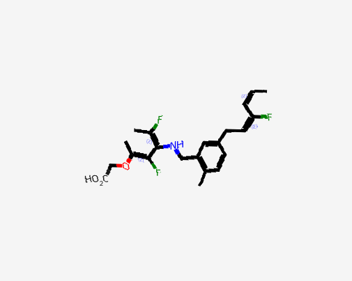 C/C=C\C(F)=C/Cc1ccc(C)c(CNC(=C(/C)F)/C(F)=C(\C)OCC(=O)O)c1